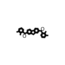 Cc1cccc(C(=O)c2ccc3c(c2)Cc2cc(C(=O)c4cccc(C)c4C)ccc2-3)c1C